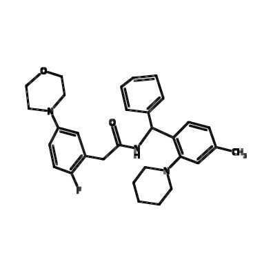 Cc1ccc(C(NC(=O)Cc2cc(N3CCOCC3)ccc2F)c2ccccc2)c(N2CCCCC2)c1